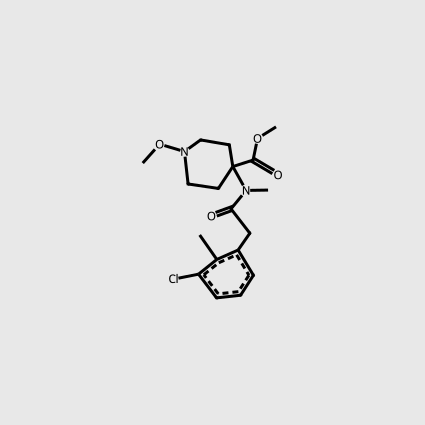 COC(=O)C1(N(C)C(=O)Cc2cccc(Cl)c2C)CCN(OC)CC1